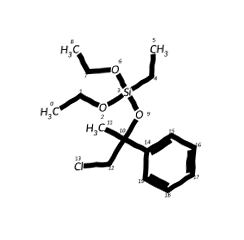 CCO[Si](CC)(OCC)OC(C)(CCl)c1ccccc1